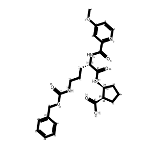 COc1ccnc(C(=O)N[C@@H](CCCNC(=O)OCc2ccccc2)C(=O)N[C@H]2CCC[C@H]2C(=O)O)c1